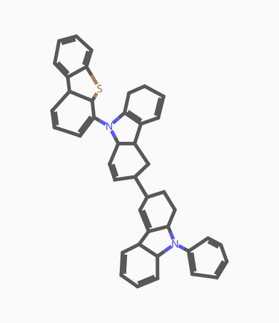 C1=CC2C3=CC(C4C=CC5C(C4)C4=C(CCC=C4)N5C4=CC=CC5c6ccccc6SC45)CCC3N(c3ccccc3)C2C=C1